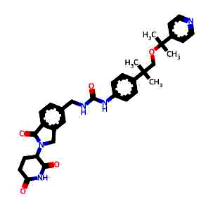 CC(C)(COC(C)(C)c1ccncc1)c1ccc(NC(=O)NCc2ccc3c(c2)CN(C2CCC(=O)NC2=O)C3=O)cc1